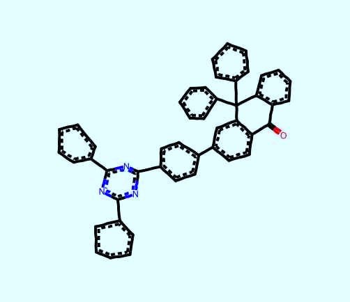 O=C1c2ccccc2C(c2ccccc2)(c2ccccc2)c2cc(-c3ccc(-c4nc(-c5ccccc5)nc(-c5ccccc5)n4)cc3)ccc21